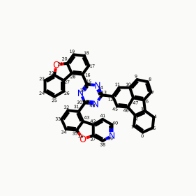 C1=CC2=C(CC1)c1cccc3cc(-c4nc(-c5cccc6oc7ccccc7c56)nc(-c5cccc6oc7cnccc7c56)n4)cc2c13